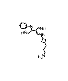 N=C/C(=C\NC1CC(CCCN)C1)C1=Nc2ccccc2NC1